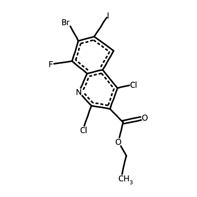 CCOC(=O)c1c(Cl)nc2c(F)c(Br)c(I)cc2c1Cl